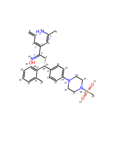 C=C/C=C(\C=C(\C)N)C(/C[C@H](c1ccc(N2CCN(S(C)(=O)=O)CC2)cc1)c1ccccc1C)=N/O